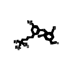 CC1=CC(Oc2c(Cl)cc([N+](=O)[O-])cc2Cl)=CC(COCC[Si](C)(C)C)C1